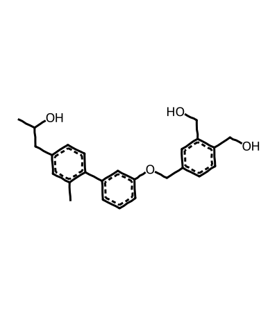 Cc1cc(CC(C)O)ccc1-c1cccc(OCc2ccc(CO)c(CO)c2)c1